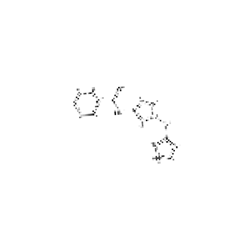 O=C(Nc1cnc(Sc2nc[nH]n2)s1)c1ccccc1